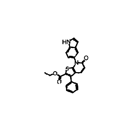 CCOC(=O)c1sc2c(ccc(=O)n2-c2ccc3[nH]ccc3c2)c1-c1ccccc1